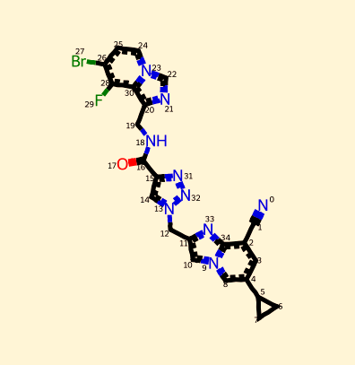 N#Cc1cc(C2CC2)cn2cc(Cn3cc(C(=O)NCc4ncn5ccc(Br)c(F)c45)nn3)nc12